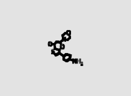 Nc1ccc(C2=CSC3C(=O)C=C(N4CCOCC4)OC23)cc1